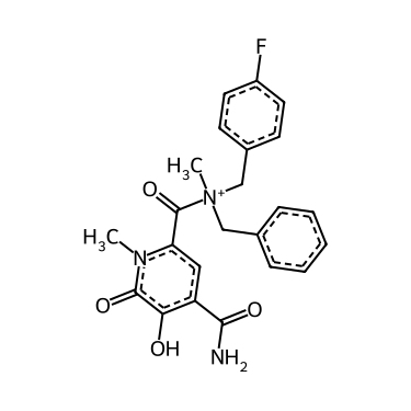 Cn1c(C(=O)[N+](C)(Cc2ccccc2)Cc2ccc(F)cc2)cc(C(N)=O)c(O)c1=O